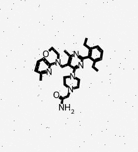 CCc1cccc(CC)c1-c1nc(C)c(CN2CCOc3ccc(C)nc32)c(N2CCN(CC(N)=O)CC2)n1